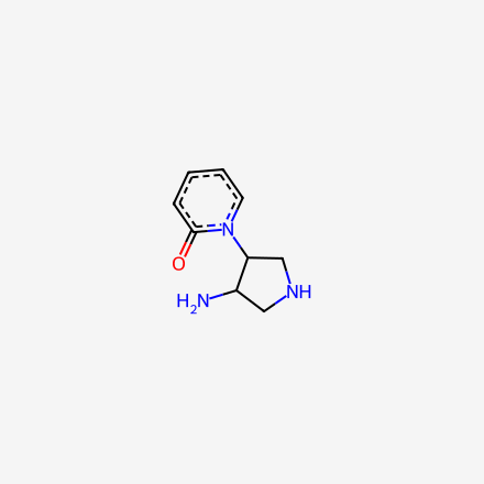 NC1CNCC1n1ccccc1=O